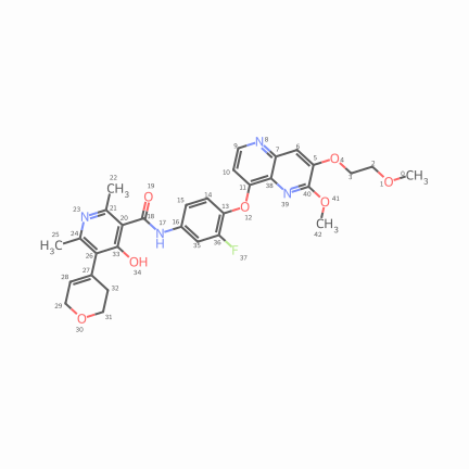 COCCOc1cc2nccc(Oc3ccc(NC(=O)c4c(C)nc(C)c(C5=CCOCC5)c4O)cc3F)c2nc1OC